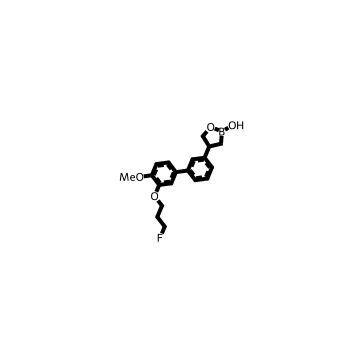 COc1ccc(-c2cccc(C3COB(O)C3)c2)cc1OCCCF